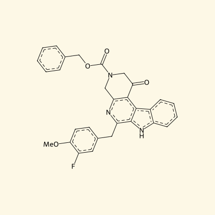 COc1ccc(Cc2nc3c(c4c2[nH]c2ccccc24)C(=O)CN(C(=O)OCc2ccccc2)C3)cc1F